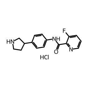 Cl.O=C(Nc1ccc(C2CCNC2)cc1)c1ncccc1F